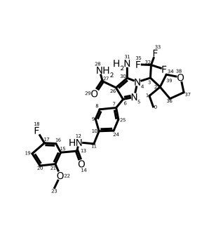 CCC1(C(n2nc(-c3ccc(CNC(=O)c4cc(F)ccc4OC)cc3)c(C(N)=O)c2N)C(F)(F)F)CCOC1